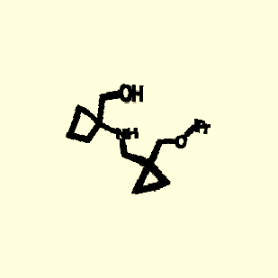 CC(C)OCC1(CNC2(CO)CCC2)CC1